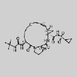 CC(C)(C)NC(=O)N[C@H]1CCCCC/C=C\[C@@H]2C[C@@]2(C(=O)NS(=O)(=O)C2CC2)NC(=O)[C@@H]2CCCN2C1=O